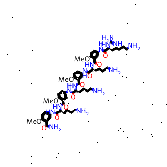 COc1ccc(NC(=O)[C@H](CCCCN)NC(=O)c2cc(NC(=O)[C@H](CCCCN)NC(=O)c3cc(NC(=O)[C@H](CCCCN)NC(=O)c4cc(NC(=O)[C@H](CCCCCN)NC(=N)N)ccc4OC)ccc3OC)ccc2OC)cc1C(N)=O